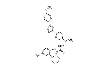 Cc1ccc(C(C)C)c(N2CCCS/C2=N\C(=O)NCC(C)c2ccc(-c3ncn(-c4ccc(OC(F)(F)F)cc4)n3)cc2)c1